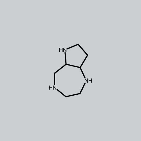 C1CNC2CCNC2CN1